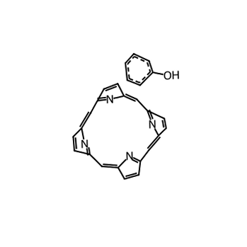 C1=CC2=NC1=CC1=NC(=CC3=NC(=CC4=NC(=C2)C=C4)C=C3)C=C1.Oc1ccccc1